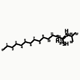 CCCCCCCCCCCC[SH2]C(S)=[SH]C(C)C